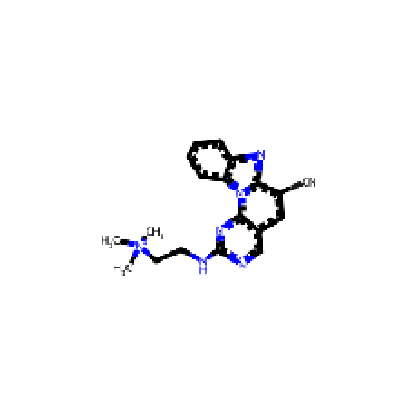 C[N+](C)(C)CCNc1ncc2cc(C#N)c3nc4ccccc4n3c2n1